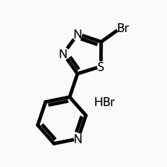 Br.Brc1nnc(-c2cccnc2)s1